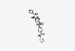 O=C(Nc1cc2nc(-c3ccc(NC(=O)C4CCCCC4)cc3)[nH]c2cn1)c1ccccc1